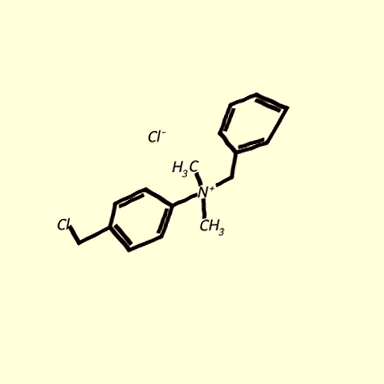 C[N+](C)(Cc1ccccc1)c1ccc(CCl)cc1.[Cl-]